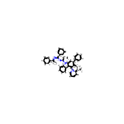 C=C(/N=C(\NC(C)n1c2ccccc2c2c(N3C=CC=CC3=C)c(C)c(-c3ccccc3)cc21)c1ccccc1)c1ccccc1